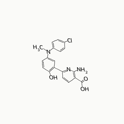 CN(c1ccc(Cl)cc1)c1ccc(O)c(-c2ccc(C(=O)O)c(N)n2)c1